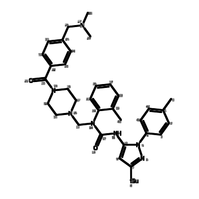 Cc1ccc(-n2nc(C(C)(C)C)cc2NC(=O)N(CN2CCN(C(=O)c3ccc(CN(C)C)cc3)CC2)c2ccccc2C)cc1